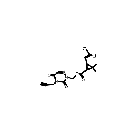 C#CCn1c(=O)cnn(COC(=O)C2C(C=C(Cl)Cl)C2(C)C)c1=O